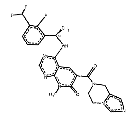 C[C@@H](Nc1ncnc2c1cc(C(=O)N1CCn3cncc3C1)c(=O)n2C)c1cccc(C(F)F)c1F